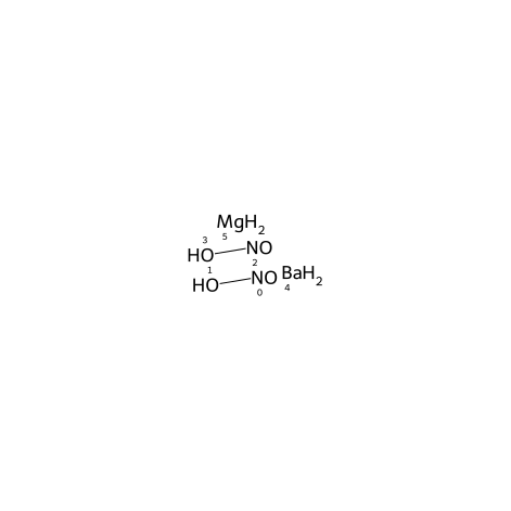 O=NO.O=NO.[BaH2].[MgH2]